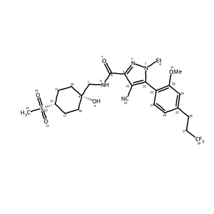 CCn1nc(C(=O)NC[C@]2(O)CC[C@@H](S(C)(=O)=O)CC2)c(C#N)c1-c1ccc(CCC(F)(F)F)cc1OC